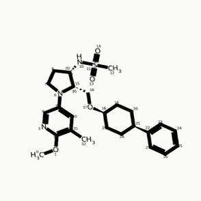 COc1ncc(N2CC[C@H](NS(C)(=O)=O)[C@@H]2CO[C@H]2CC[C@@H](c3ccccc3)CC2)cc1C